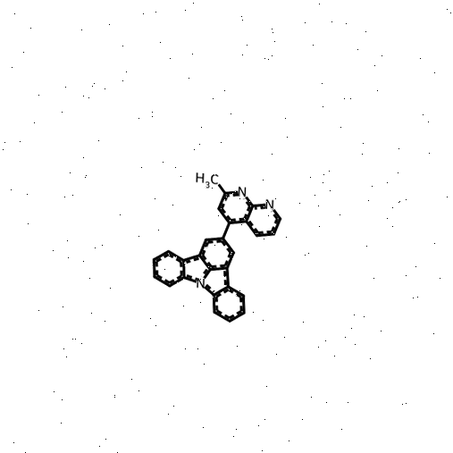 Cc1cc(-c2cc3c4ccccc4n4c5ccccc5c(c2)c34)c2cccnc2n1